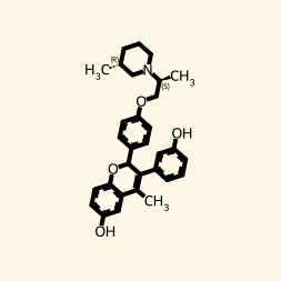 CC1=C(c2cccc(O)c2)C(c2ccc(OC[C@H](C)N3CCC[C@@H](C)C3)cc2)Oc2ccc(O)cc21